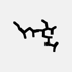 C=C(C)NC(C)/C=C(/C=C(\C)C/C(C)=C\CC)C(=C/C)\C(=C)C